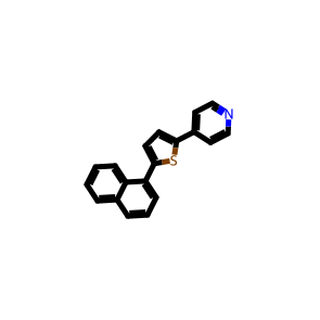 c1ccc2c(-c3ccc(-c4ccncc4)s3)cccc2c1